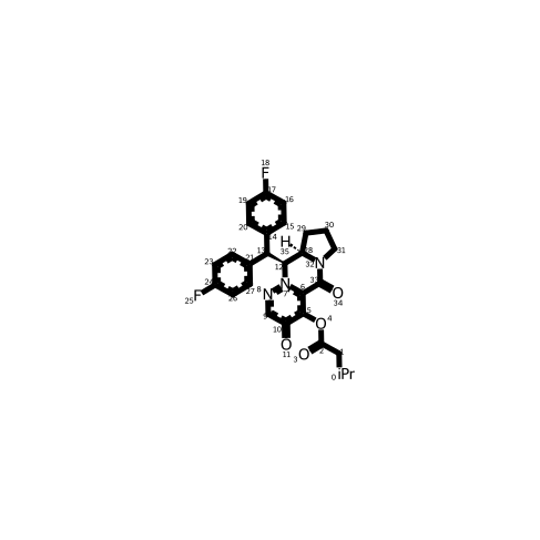 CC(C)CC(=O)Oc1c2n(ncc1=O)[C@@H](C(c1ccc(F)cc1)c1ccc(F)cc1)[C@H]1CCCN1C2=O